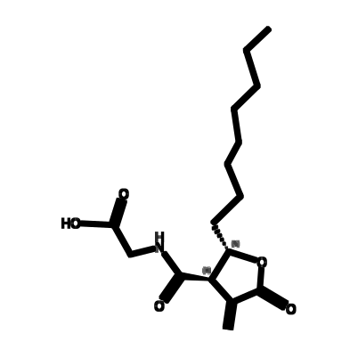 C=C1C(=O)O[C@@H](CCCCCCCC)[C@@H]1C(=O)NCC(=O)O